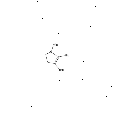 CC(C)(C)C1=C(C(C)(C)C)N(C(C)(C)C)CC1